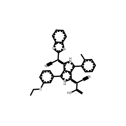 C=C(S)/C(C#N)=c1\[nH]c(-c2cccc(OCC)c2)c2/c(=C(\C#N)c3nc4ccccc4s3)[nH]c(-c3ccccc3C)c12